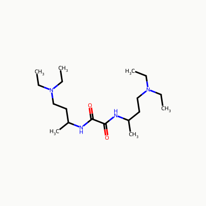 CCN(CC)CCC(C)NC(=O)C(=O)NC(C)CCN(CC)CC